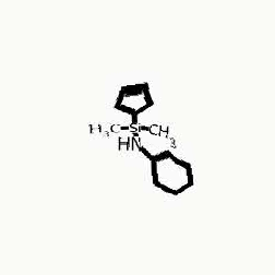 C[Si](C)(NC1CCCCC1)C1=CC=CC1